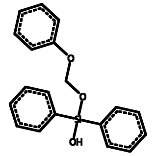 O[Si](OCOc1ccccc1)(c1ccccc1)c1ccccc1